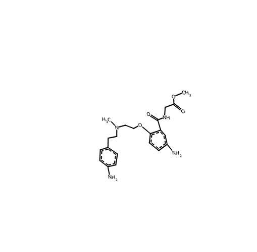 COC(=O)CNC(=O)c1cc(N)ccc1OCCN(C)CCc1ccc(N)cc1